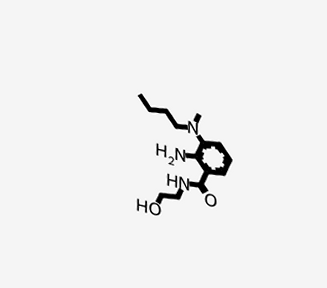 CCCCN(C)c1cccc(C(=O)NCCO)c1N